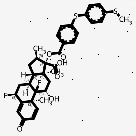 CSc1ccc(Sc2ccc(C(=O)O[C@@]3(C(=O)O)[C@H](C)C[C@H]4[C@@H]5C[C@H](F)C6=CC(=O)C=C[C@]6(C)C5(F)[C@@H](O)C[C@@]43C)cc2)cc1